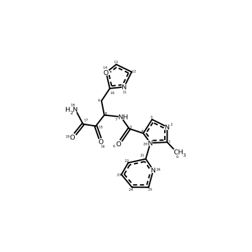 Cc1ncc(C(=O)NC(Cc2ncco2)C(=O)C(N)=O)n1-c1ccccn1